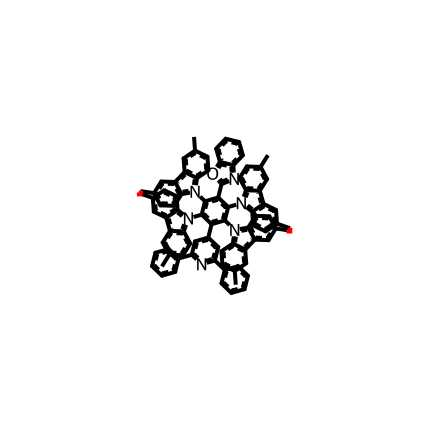 Cc1ccc2c(c1)c1cc(C)ccc1n2-c1c(-c2cc(-c3ccccc3)nc(-c3ccccc3)c2)c(-n2c3ccc(C)cc3c3cc(C)ccc32)c(-n2c3ccc(C)cc3c3cc(C)ccc32)c(-c2nc3ccccc3o2)c1-n1c2ccc(C)cc2c2cc(C)ccc21